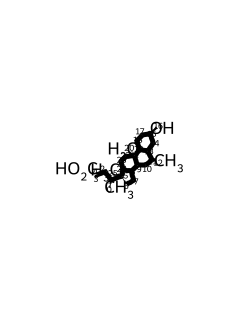 C[C@H](CCC(=O)O)[C@H]1CCC2C3C[C@H](C)C4C[C@H](O)CC[C@]4(C)C3CC[C@@]21C